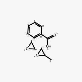 C1CO1.CC1CO1.O=C(O)c1ccccc1